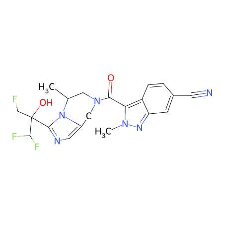 CC1CN(C(=O)c2c3ccc(C#N)cc3nn2C)Cc2cnc(C(O)(CF)C(F)F)n21